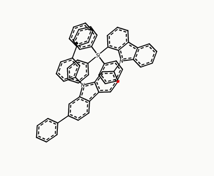 c1ccc(-c2cccc(-n3c4cc(-c5ccccc5)ccc4c4ccc(-n5c6ccccc6c6cccc([Si](c7ccccc7)(c7ccccc7)c7ccccc7)c65)cc43)c2)cc1